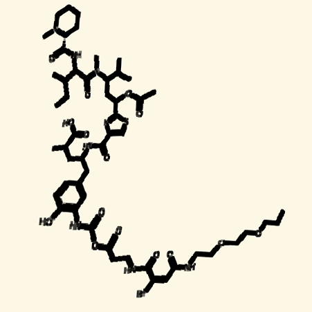 CCCOCCOCCNC(=O)/C=C(/Br)C(=O)NCCC(=O)OC(=O)Nc1cc(CC(CC(C)C(=O)O)NC(=O)c2csc(C(CC(C(C)C)N(C)C(=O)C(NC(=O)[C@H]3CCCCN3C)C(C)CC)OC(C)=O)n2)ccc1O